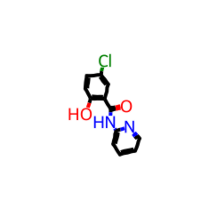 O=C(Nc1ccccn1)c1cc(Cl)ccc1O